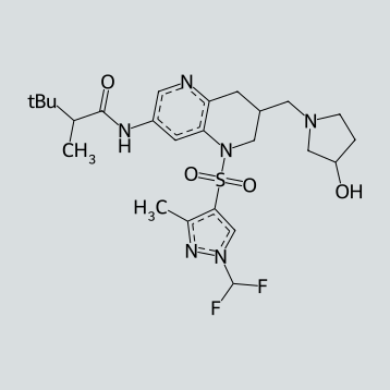 Cc1nn(C(F)F)cc1S(=O)(=O)N1CC(CN2CCC(O)C2)Cc2ncc(NC(=O)C(C)C(C)(C)C)cc21